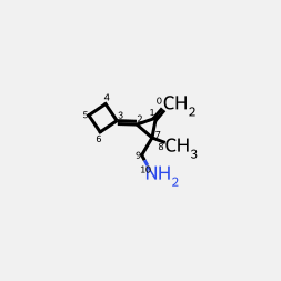 C=C1C(=C2CCC2)C1(C)CN